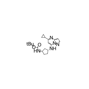 CC(C)(C)OC(=O)N[C@@H]1CC[C@@H](Nc2cc(C3CC3)nc3ccnn23)C1